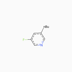 CCCCc1cncc(F)c1